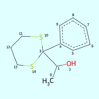 CC(O)C1(c2ccccc2)SCCCS1